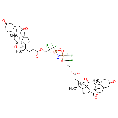 C[C@H](CCC(=O)OCC(F)(F)C(F)(F)S(=O)(=O)NS(=O)(=O)C(F)(F)C(F)(F)CCOC(=O)CC[C@H](C)[C@@H]1CC[C@@H]2[C@H]3C(=O)CC4CC(=O)CC[C@@]4(C)[C@@H]3CC(=O)[C@]21C)[C@H]1CC[C@H]2[C@@H]3C(=O)CC4CC(=O)CC[C@]4(C)[C@H]3CC(=O)[C@]12C